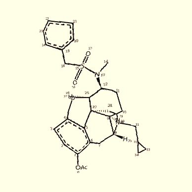 CC(=O)Oc1ccc2c3c1C[C@@H]1[C@@H]4CC[C@H](N(C)S(=O)(=O)Cc5ccccc5)[C@H](O2)[C@]34CCN1CC1CC1